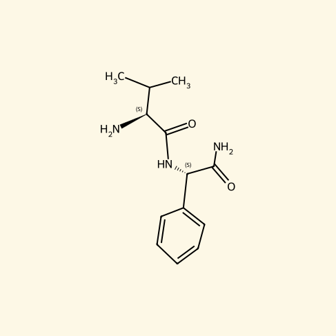 CC(C)[C@H](N)C(=O)N[C@H](C(N)=O)c1ccccc1